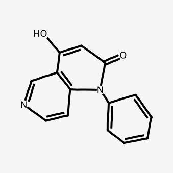 O=c1cc(O)c2cnccc2n1-c1ccccc1